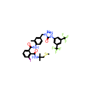 CSCC(C)(C)NC(=O)c1c(I)cccc1C(=O)Nc1ccc(Cn2nnn(-c3cc(C(F)(F)F)cc(C(F)(F)F)c3)c2=O)cc1C